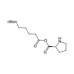 CCCCCCCCCCCCCC(=O)OC(=O)[C@@H]1CCCN1